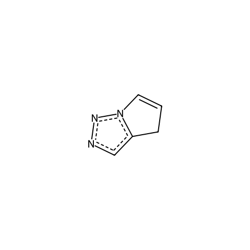 C1=Cn2nncc2C1